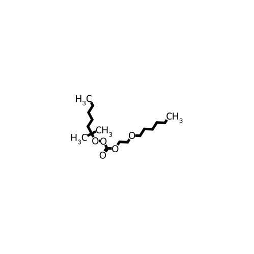 CCCCCCOCCOC(=O)OOC(C)(C)CCCCC